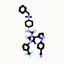 Cc1c(-c2ccnn2-c2ccc(C#N)cc2)n(C(=O)N[C@H]2CC[C@@H]([N+](C)(C)Cc3ccccc3)CC2)c(=O)n1-c1cccc(C(F)(F)F)c1